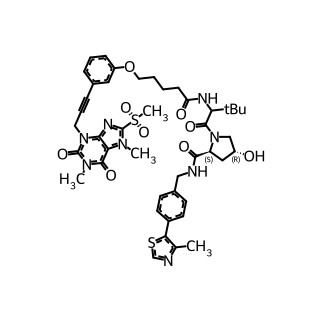 Cc1ncsc1-c1ccc(CNC(=O)[C@@H]2C[C@@H](O)CN2C(=O)C(NC(=O)CCCCOc2cccc(C#CCn3c(=O)n(C)c(=O)c4c3nc(S(C)(=O)=O)n4C)c2)C(C)(C)C)cc1